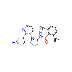 CC(C)c1cccc(C(C)C)c1C(=O)NC1CCCN1c1cccnc1C1CCNC1